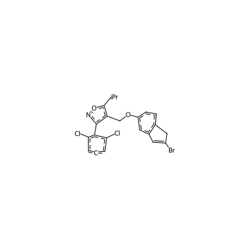 CC(C)c1onc(-c2c(Cl)cccc2Cl)c1COc1ccc2c(c1)C=C(Br)C2